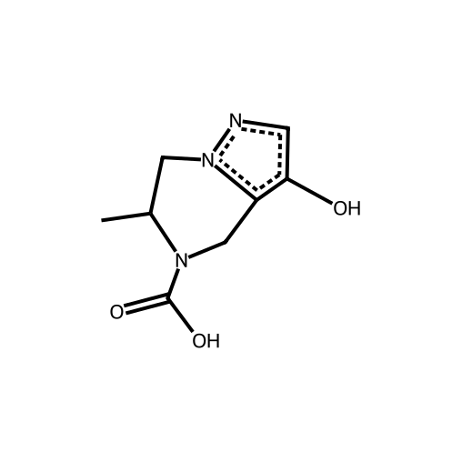 CC1Cn2ncc(O)c2CN1C(=O)O